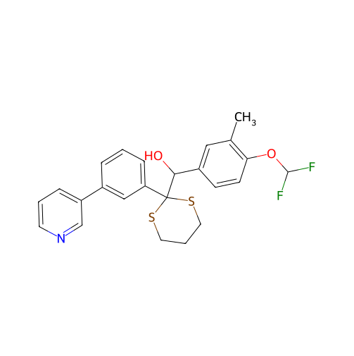 Cc1cc(C(O)C2(c3cccc(-c4cccnc4)c3)SCCCS2)ccc1OC(F)F